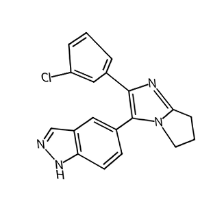 Clc1cccc(-c2nc3n(c2-c2ccc4[nH]ncc4c2)CCC3)c1